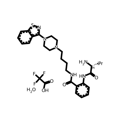 CC(C)[C@@H](N)C(=O)Nc1ccccc1C(=O)NCCCCN1CCN(c2nsc3ccccc23)CC1.O.O=C(O)C(F)(F)F